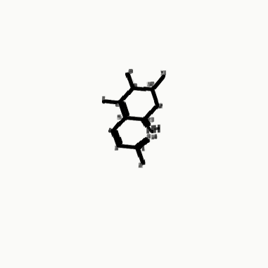 C=C(C)/C=C\C1=C(C)C(C)C(C)CC1=N